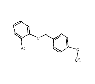 CC(=O)c1ccccc1OCc1ccc(OC(F)(F)F)cc1